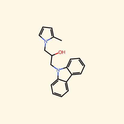 Cc1cccn1CC(O)Cn1c2ccccc2c2ccccc21